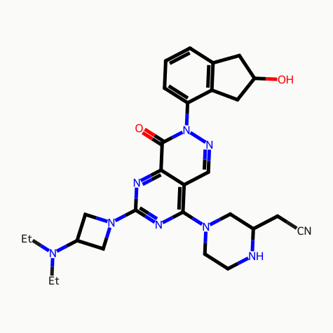 CCN(CC)C1CN(c2nc(N3CCNC(CC#N)C3)c3cnn(-c4cccc5c4CC(O)C5)c(=O)c3n2)C1